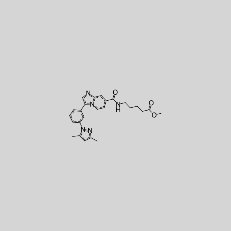 COC(=O)CCCCNC(=O)c1ccn2c(-c3cccc(-n4nc(C)cc4C)c3)cnc2c1